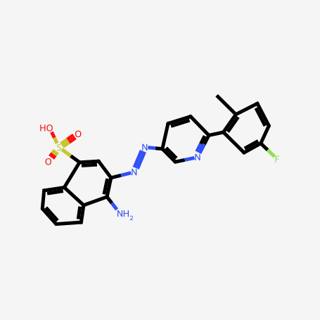 Cc1ccc(F)cc1-c1ccc(N=Nc2cc(S(=O)(=O)O)c3ccccc3c2N)cn1